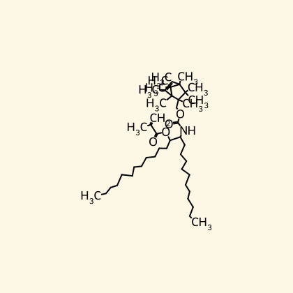 C=C(C)C(=O)OC(CCCCCCCCCCCC)C(CCCCCCCCCCC)NC(=O)OCC1(C)C(C)(C)C2(C)C(C)=C(C)C1(C)C2(C)C